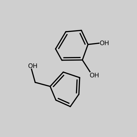 OCc1ccccc1.Oc1ccccc1O